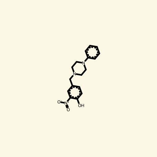 O=[N+]([O-])c1cc(CN2CCN(c3ccccc3)CC2)ccc1O